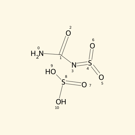 NC(=O)N=S(=O)=O.O=S(O)O